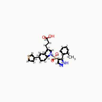 Cc1ccccc1-c1[nH]ncc1S(=O)(=O)n1cc(CCC(=O)O)c2cc(-c3ccsc3)ccc21